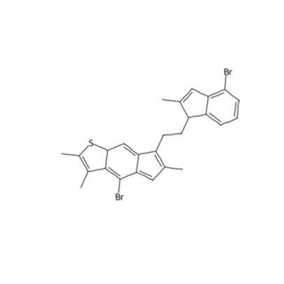 CC1=Cc2c(Br)cccc2C1CCC1=C(C)C=C2C1=CC1SC(C)=C(C)C1=C2Br